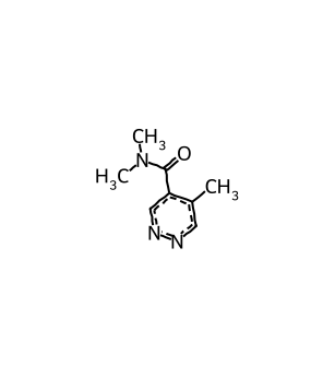 Cc1cnncc1C(=O)N(C)C